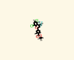 Cc1cc(C(=O)/C=C(\C2=CC(C)(Cl)CC(Cl)=C2)C(F)(F)F)ccc1C(=O)OC(C)(C)C